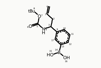 C=CCC(NC(=O)OC(C)(C)C)c1cccc(B(O)O)c1